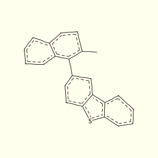 Cc1ccc2ccccc2c1-c1ccc2sc3ccccc3c2c1